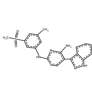 Cc1cc(Nc2ncc(-c3n[nH]c4ccccc34)c(N)n2)cc(S(C)(=O)=O)c1